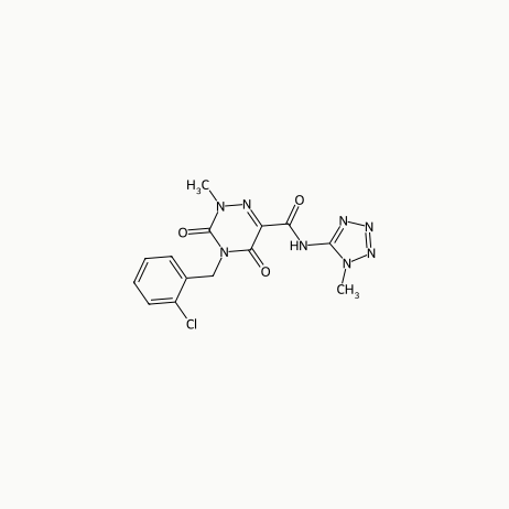 Cn1nnnc1NC(=O)c1nn(C)c(=O)n(Cc2ccccc2Cl)c1=O